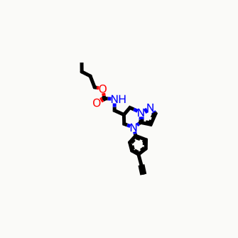 C#Cc1ccc(N2CC(CNC(=O)OCCCC)Cn3nccc32)cc1